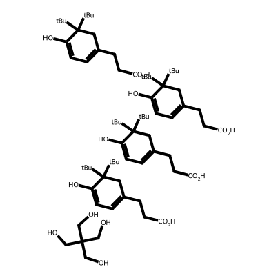 CC(C)(C)C1(C(C)(C)C)CC(CCC(=O)O)=CC=C1O.CC(C)(C)C1(C(C)(C)C)CC(CCC(=O)O)=CC=C1O.CC(C)(C)C1(C(C)(C)C)CC(CCC(=O)O)=CC=C1O.CC(C)(C)C1(C(C)(C)C)CC(CCC(=O)O)=CC=C1O.OCC(CO)(CO)CO